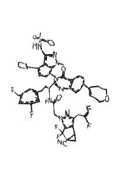 Cn1nc(NS(C)(=O)=O)c2c(Cl)ccc(-n3c([C@H](Cc4cc(F)cc(F)c4)NC(=O)Cn4nc(C(F)F)c5c4C(F)(F)C4(C#N)CC54)nc4cc(C5=CCOCC5)ccc4c3=O)c21